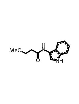 COCCC(=O)Nc1c[nH]c2ccccc12